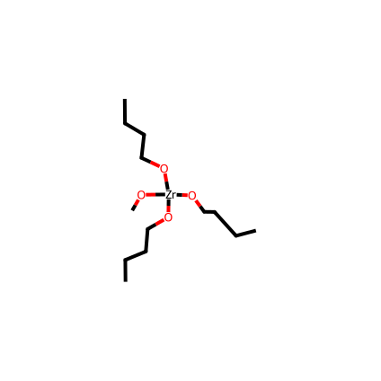 CCCC[O][Zr]([O]C)([O]CCCC)[O]CCCC